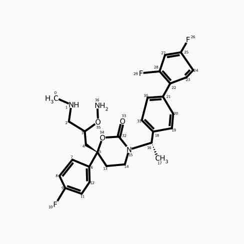 CNCC(C[C@]1(c2ccc(F)cc2)CCN([C@@H](C)c2ccc(-c3ccc(F)cc3F)cc2)C(=O)O1)ON